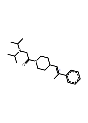 C/C(=C\C1CCN(C(=O)CN(C(C)C)C(C)C)CC1)c1ccccc1